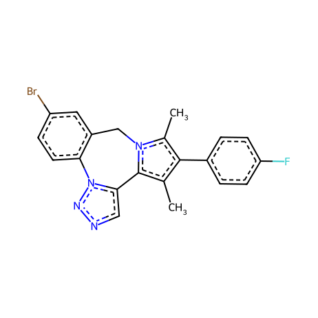 Cc1c(-c2ccc(F)cc2)c(C)n2c1-c1cnnn1-c1ccc(Br)cc1C2